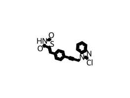 O=C1NC(=O)C(=Cc2ccc(C#CCn3c(Cl)nc4ccccc43)cc2)S1